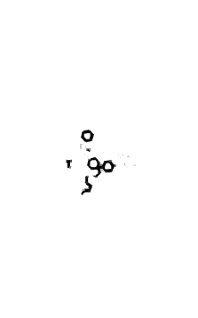 COc1ccc(C23CCC(NC(=O)Nc4ccc(F)c(F)c4)CC2N(Cc2ccc(C)s2)CC3)cc1OC.O=C(O)C(F)(F)F